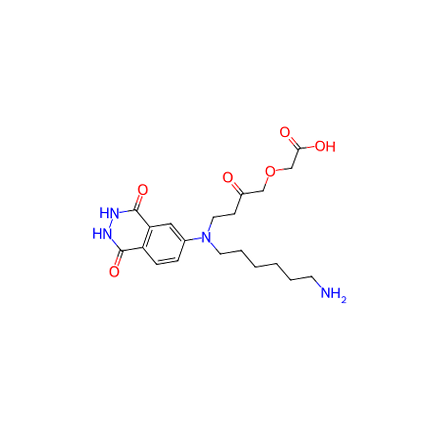 NCCCCCCN(CCC(=O)COCC(=O)O)c1ccc2c(=O)[nH][nH]c(=O)c2c1